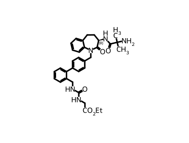 CCOC(=O)CNC(=O)NCc1ccccc1-c1ccc(CN2C(=O)[C@H](NC(=O)C(C)(C)N)CCc3ccccc32)cc1